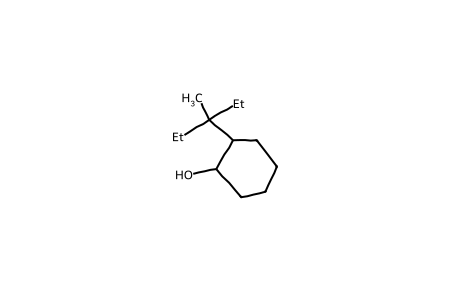 CCC(C)(CC)C1CCCCC1O